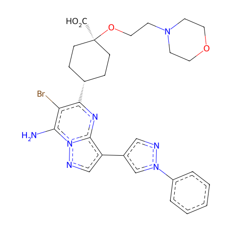 Nc1c(Br)c([C@H]2CC[C@@](OCCN3CCOCC3)(C(=O)O)CC2)nc2c(-c3cnn(-c4ccccc4)c3)cnn12